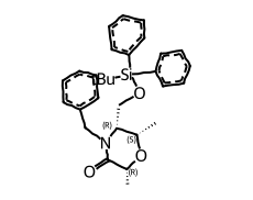 C[C@@H]1O[C@H](C)C(=O)N(Cc2ccccc2)[C@@H]1CO[Si](c1ccccc1)(c1ccccc1)C(C)(C)C